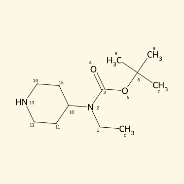 CCN(C(=O)OC(C)(C)C)C1CCNCC1